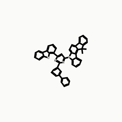 CC1(C)c2ccccc2-c2ccc3c(c21)c1ccccc1n3-c1cc(-c2cccc3c2oc2ccccc23)nc(-c2cccc(-c3ccccc3)c2)n1